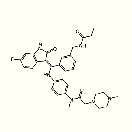 CCC(=O)NCc1cccc(C(Nc2ccc(N(C)C(=O)CN3CCN(C)CC3)cc2)=C2C(=O)Nc3cc(F)ccc32)c1